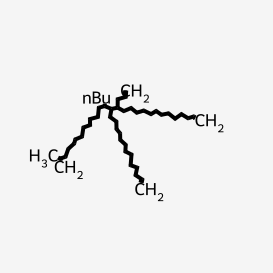 C=CCCCCCCCCCCCC(CC=C)C(CCCCCCCCCCCC=C)C(CCCC)CCCCCCCCCCC(=C)C